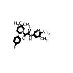 Cc1cc(NC(=O)C(=O)N2CC(C)(C)CC[C@H]2c2ccc(F)cc2)cnc1N